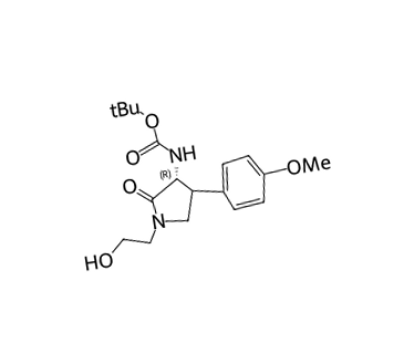 COc1ccc(C2CN(CCO)C(=O)[C@@H]2NC(=O)OC(C)(C)C)cc1